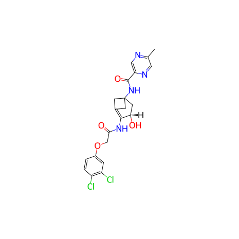 Cc1cnc(C(=O)NC23CC(=C(NC(=O)COc4ccc(Cl)c(Cl)c4)[C@@H](O)C2)C3)cn1